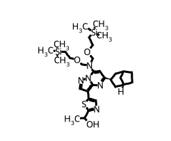 CC(O)c1ncc(-c2cnn3c(N(COCC[Si](C)(C)C)COCC[Si](C)(C)C)cc([C@H]4CC5CC[C@@H](C5)C4)nc23)s1